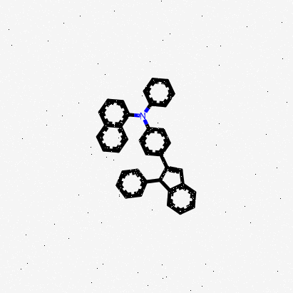 C1=C(c2ccc(N(c3ccccc3)c3cccc4ccccc34)cc2)C(c2ccccc2)c2ccccc21